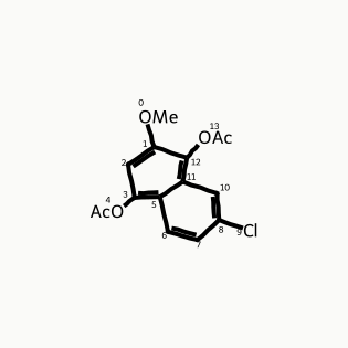 COc1cc(OC(C)=O)c2ccc(Cl)cc2c1OC(C)=O